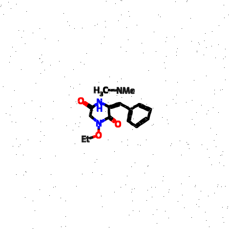 CCON1CC(=O)NC(=Cc2ccccc2)C1=O.CNC